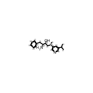 CC(C)c1cncc(N(C)C[C@@H](O)[C@@H](N)Cc2ccccc2)c1